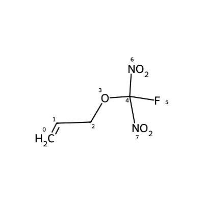 C=CCOC(F)([N+](=O)[O-])[N+](=O)[O-]